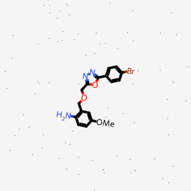 COc1ccc(N)c(COCc2nnc(-c3ccc(Br)cc3)o2)c1